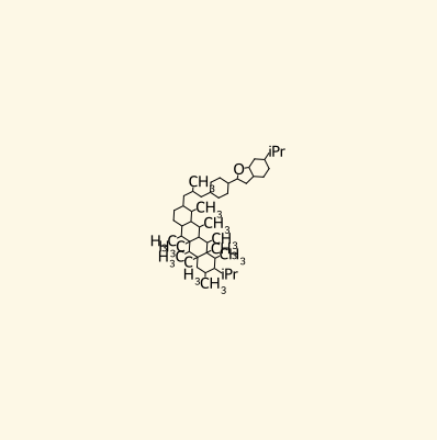 CC(CC1CCC(C2CC3CCC(C(C)C)CC3O2)CC1)CC1CCC2C(C1C)C(C)C1C(C)C3(C)C(C)C(C(C)C)C(C)CC3(C)C(C)C1(C)C2C